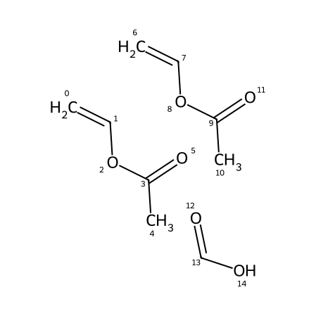 C=COC(C)=O.C=COC(C)=O.O=CO